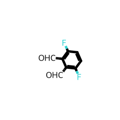 O=Cc1c(F)ccc(F)c1C=O